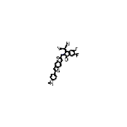 CN(C)C1C=CC(c2cc3cc4sc(/C=C5\C(=O)c6cc(F)c(F)cc6C5=C(C#N)C#N)cc4cc3s2)=CC1